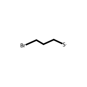 [S]CCCBr